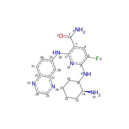 NC(=O)c1cc(F)c(NC2CCCC[C@@H]2N)nc1Nc1ccc2nccnc2c1